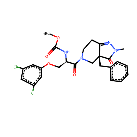 CN1N=C2CCN(C(=O)[C@@H](COc3cc(Cl)cc(Cl)c3)NC(=O)OC(C)(C)C)C[C@@]2(Cc2ccccc2)C1=O